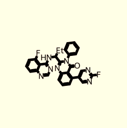 CCC(Nc1ncnc2cccc(F)c12)c1nc2cccc(-c3cnc(F)nc3)c2c(=O)n1-c1ccccc1